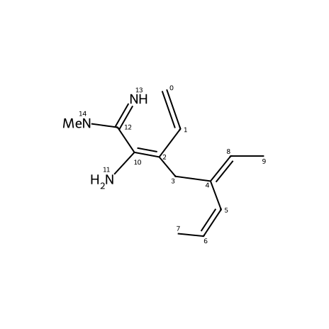 C=C/C(CC(/C=C\C)=C/C)=C(/N)C(=N)NC